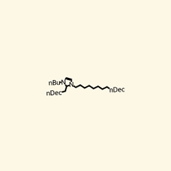 CCCCCCCCCCCCCCCCCCN1C=CN(CCCC)C1CCCCCCCCCCC